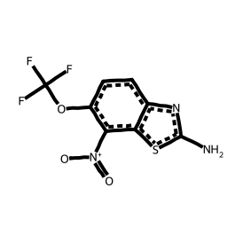 Nc1nc2ccc(OC(F)(F)F)c([N+](=O)[O-])c2s1